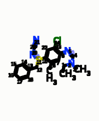 CCN(C)/C=N\c1cc(C)c(/S(Cc2ccccc2)=N\C#N)cc1Cl